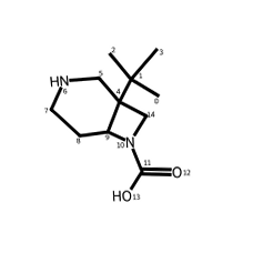 CC(C)(C)C12CNCCC1N(C(=O)O)C2